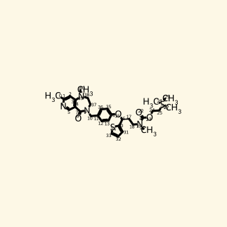 Cc1cc2c(cn1)C(=O)N(Cc1ccc(O[C@@H](CCN(C)C(=O)OCCS(C)(C)C)c3cccs3)cc1)CCN2C